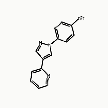 CCCc1ccc(-n2cc(-c3ccccn3)cn2)cc1